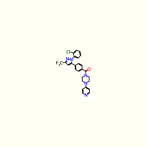 O=C(c1ccc(-c2cc(C(F)(F)F)nn2-c2ccccc2Cl)cc1)N1CCN(c2ccncc2)CC1